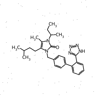 CCC(C)n1c(C)c(CCC(C)C)n(Cc2ccc(-c3ccccc3-c3nnn[nH]3)cc2)c1=O